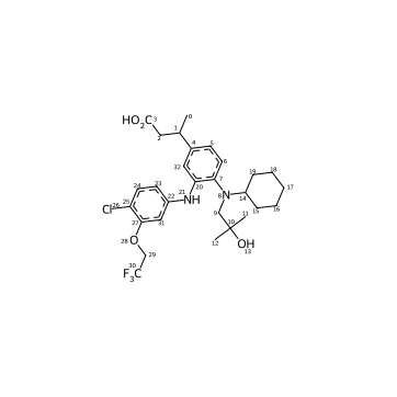 CC(CC(=O)O)c1ccc(N(CC(C)(C)O)C2CCCCC2)c(Nc2ccc(Cl)c(OCC(F)(F)F)c2)c1